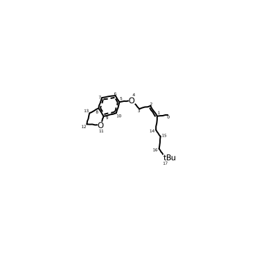 CC(=CCOc1ccc2c(c1)OCC2)CCCC(C)(C)C